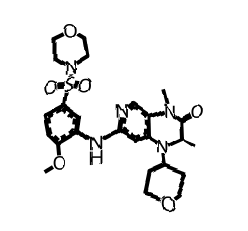 COc1ccc(S(=O)(=O)N2CCOCC2)cc1Nc1cc2c(cn1)N(C)C(=O)[C@@H](C)N2C1CCOCC1